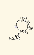 CC[C@H]1C(=O)C(C)(C)[C@@H](O)CC(=O)O[C@H](C=Cc2csc(CO)n2)C/C=C(/C)CCC[C@H](C)[C@@H]1O